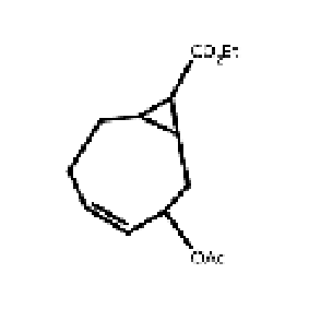 CCOC(=O)C1C2CC/C=C\C(OC(C)=O)CC21